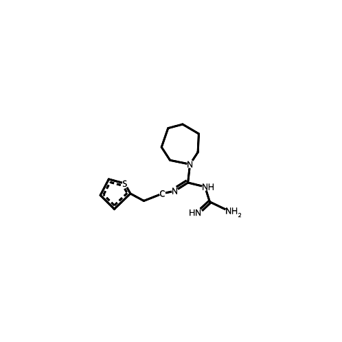 N=C(N)N/C(=N/CCc1cccs1)N1CCCCCC1